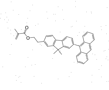 C=C(C)C(=O)OCCc1ccc2c(c1)C(C)(C)c1cc(-c3c4ccccc4cc4ccccc34)ccc1-2